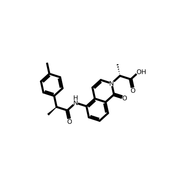 Cc1ccc([C@H](C)C(=O)Nc2cccc3c(=O)n([C@H](C)C(=O)O)ccc23)cc1